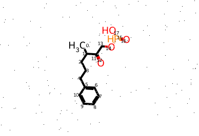 CC(CCCc1ccccc1)C(=O)CO[PH](=O)O